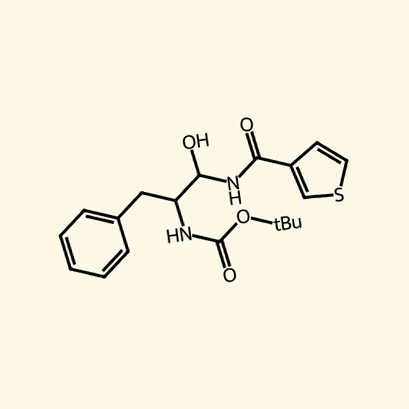 CC(C)(C)OC(=O)NC(Cc1ccccc1)C(O)NC(=O)c1ccsc1